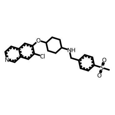 CS(=O)(=O)c1ccc(CNC2CCC(Oc3cc4ccncc4cc3Cl)CC2)cc1